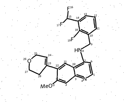 COc1cc2nccc(NCc3cccc(C(F)F)c3F)c2cc1C1=CCOCC1